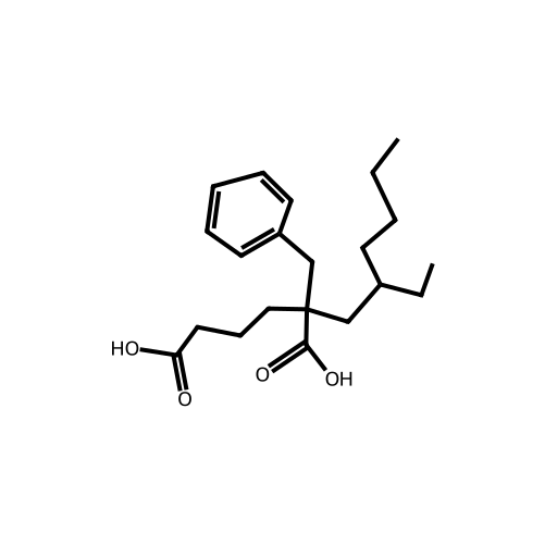 CCCCC(CC)CC(CCCC(=O)O)(Cc1ccccc1)C(=O)O